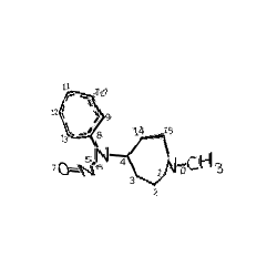 CN1CCC(N(N=O)c2ccccc2)CC1